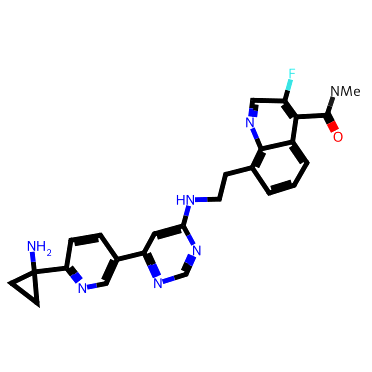 CNC(=O)c1c(F)cnc2c(CCNc3cc(-c4ccc(C5(N)CC5)nc4)ncn3)cccc12